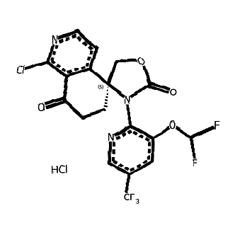 Cl.O=C1CC[C@@]2(COC(=O)N2c2ncc(C(F)(F)F)cc2OC(F)F)c2ccnc(Cl)c21